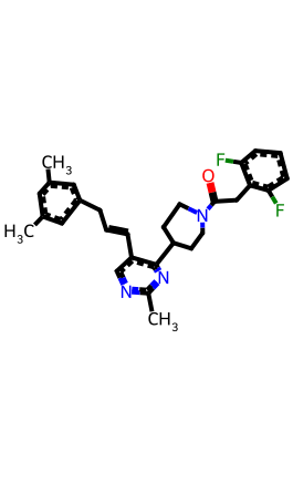 Cc1cc(C)cc(CC=Cc2cnc(C)nc2C2CCN(C(=O)Cc3c(F)cccc3F)CC2)c1